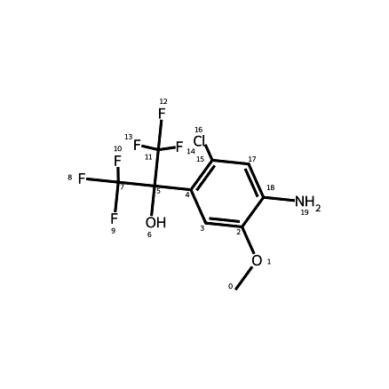 COc1cc(C(O)(C(F)(F)F)C(F)(F)F)c(Cl)cc1N